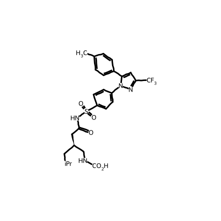 Cc1ccc(-c2cc(C(F)(F)F)nn2-c2ccc(S(=O)(=O)NC(=O)C[C@@H](CNC(=O)O)CC(C)C)cc2)cc1